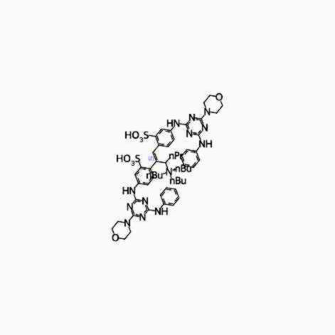 CCCC[N+](CCCC)(CCCC)C(CCC)/C(=C\c1ccc(Nc2nc(Nc3ccccc3)nc(N3CCOCC3)n2)cc1S(=O)(=O)O)c1ccc(Nc2nc(Nc3ccccc3)nc(N3CCOCC3)n2)cc1S(=O)(=O)O